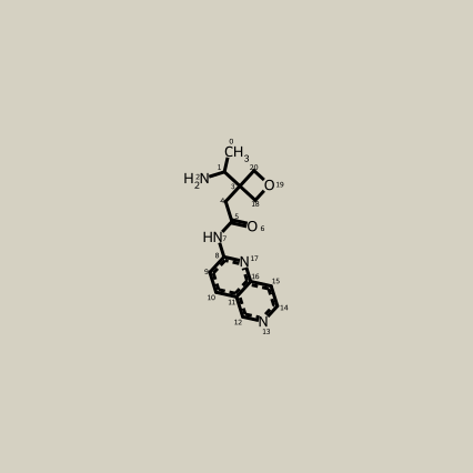 CC(N)C1(CC(=O)Nc2ccc3cnccc3n2)COC1